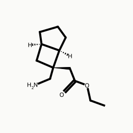 CCOC(=O)C[C@@]1(CN)C[C@H]2CCC[C@H]21